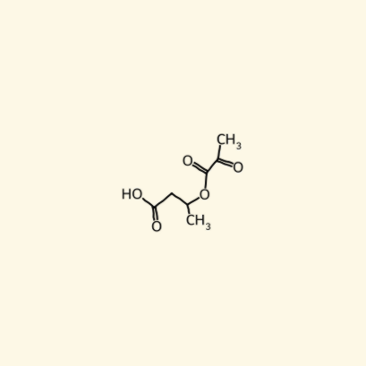 CC(=O)C(=O)OC(C)CC(=O)O